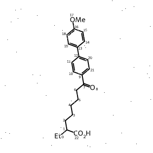 CCC(CCCCCC(=O)c1ccc(-c2ccc(OC)cc2)cc1)C(=O)O